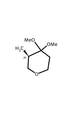 COC1(OC)CCOC[C@H]1C